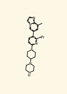 Cc1cc(-c2ccc(N3CCC(N4CCNCC4)CC3)nc2C(C)C)cn2ccnc12